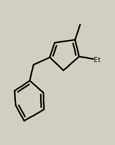 CCC1=C(C)C=C(Cc2ccccc2)C1